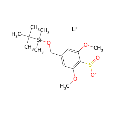 COc1cc(CO[Si](C)(C)C(C)(C)C)cc(OC)c1S(=O)[O-].[Li+]